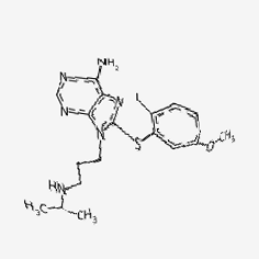 COc1ccc(I)c(Sc2nc3c(N)ncnc3n2CCCNC(C)C)c1